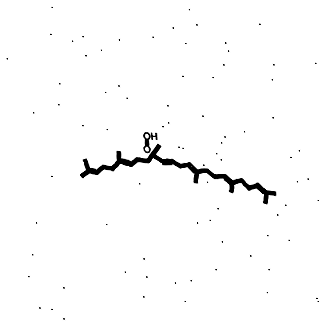 CC(C)=CCC/C(C)=C/CC/C(C)=C/C/C=C/C(C)(CC/C=C(\C)CCC=C(C)C)OO